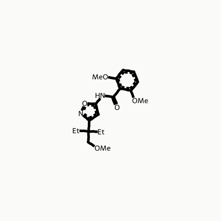 CCC(CC)(COC)c1cc(NC(=O)c2c(OC)cccc2OC)on1